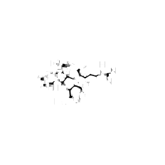 N=C(N)NCCCC(C(=O)O)N(CCN(CP(=O)(O)O)CP(=O)(O)O)C(C(=O)O)C(O)C(=O)O